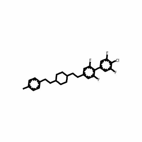 Cc1ccc(CCC2CCC(CCc3cc(F)c(-c4cc(F)c(Cl)c(F)c4)c(F)c3)CC2)cc1